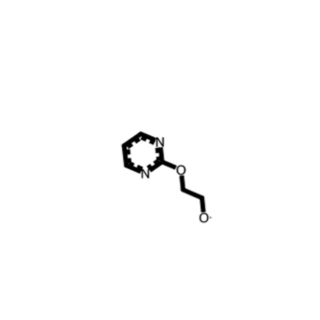 [O]CCOc1ncccn1